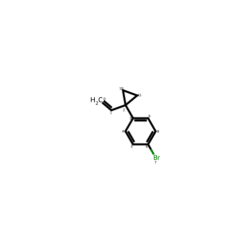 C=CC1(c2ccc(Br)cc2)CC1